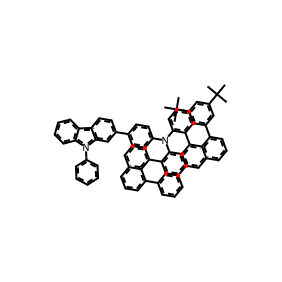 CC(C)(C)c1cc(-c2cccc3cccc(-c4ccccc4N(c4ccc(-c5ccc6c7ccccc7n(-c7ccccc7)c6c5)cc4)c4ccccc4-c4cccc5cccc(-c6ccccc6)c45)c23)cc(C(C)(C)C)c1